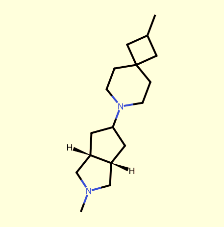 CC1CC2(CCN(C3C[C@@H]4CN(C)C[C@@H]4C3)CC2)C1